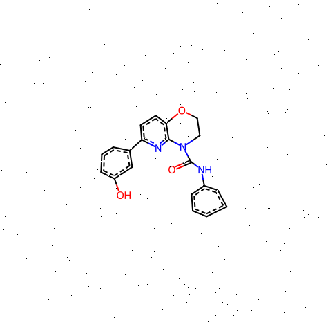 O=C(Nc1ccccc1)N1CCOc2ccc(-c3cccc(O)c3)nc21